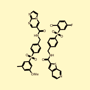 COc1cc(C)cc(S(=O)(=O)c2ccc(CNC(=O)c3cnc4nccn4c3)cc2)c1.O=C(NCc1ccc(S(=O)(=O)c2cc(F)ccc2Cl)cc1)c1cc2ccncc2s1